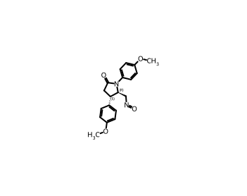 COc1ccc([C@@H]2CC(=O)N(c3ccc(OC)cc3)[C@H]2CN=O)cc1